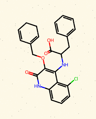 O=C(O)C(Cc1ccccc1)Nc1c(OCC2=CCCC=C2)c(=O)[nH]c2cccc(Cl)c12